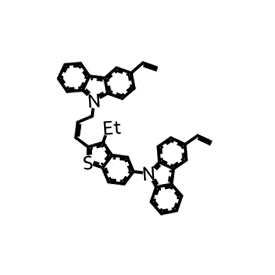 C=Cc1ccc2c(c1)c1ccccc1n2C/C=C\c1sc2ccc(-n3c4ccccc4c4cc(C=C)ccc43)cc2c1CC